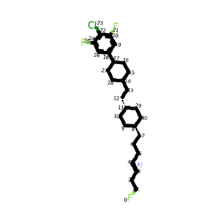 FCC/C=C/CCC[C@H]1CC[C@H](CCC2CCC(c3cc(F)c(Cl)c(F)c3)CC2)CC1